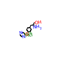 Cl.Cl.N[C@H](CO)Cc1ccc(Oc2cnccn2)cc1